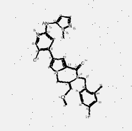 COCC1Cn2cc(-c3cc(Nc4ccnn4C)ncc3Cl)cc2C(=O)N1Cc1ccc(F)cc1C